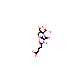 O=C(O)CCCC(=O)N[C@@H]1C(=O)N2C(C(=O)O)=C(CO)CS[C@@H]12